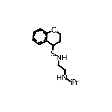 CC(C)NCCNSC1CCOc2ccccc21